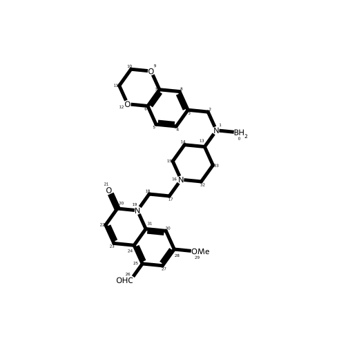 BN(Cc1ccc2c(c1)OCCO2)C1CCN(CCn2c(=O)ccc3c(C=O)cc(OC)cc32)CC1